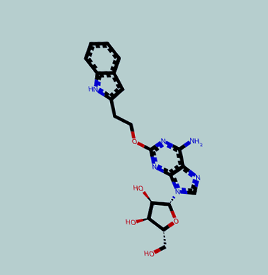 Nc1nc(OCCc2cc3ccccc3[nH]2)nc2c1ncn2[C@@H]1O[C@H](CO)[C@@H](O)[C@H]1O